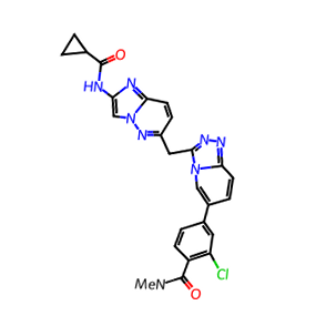 CNC(=O)c1ccc(-c2ccc3nnc(Cc4ccc5nc(NC(=O)C6CC6)cn5n4)n3c2)cc1Cl